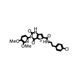 COc1ccc(-n2c(=O)[nH]c3cc(C(=O)NCCc4ccc(Cl)cc4)sc3c2=O)nc1OC